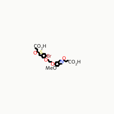 COc1cc2c(cc1OCCCOc1cc3cc(C(=O)CCC(=O)O)sc3cc1Br)CN(C(=O)CCC(=O)O)C2